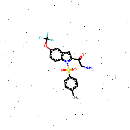 Cc1ccc(S(=O)(=O)n2c(C(=O)CN)cc3cc(OC(F)(F)F)ccc32)cc1